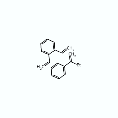 C=C(CC)c1ccccc1.C=Cc1ccccc1C=C